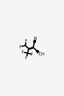 C#C/C(C#N)=C(/C(F)F)C(F)(F)F